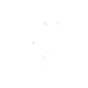 CP(c1ccccc1)C(C)(C)C.[Au+].[O-][Cl+3]([O-])([O-])[O-].c1ccncc1